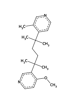 COc1ccncc1C(C)(C)CCC(C)(C)c1ccncc1C